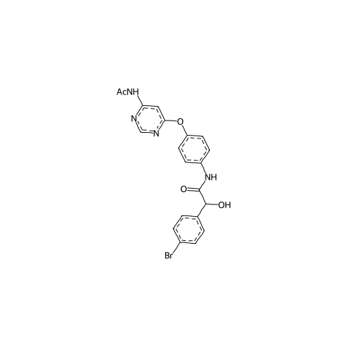 CC(=O)Nc1cc(Oc2ccc(NC(=O)C(O)c3ccc(Br)cc3)cc2)ncn1